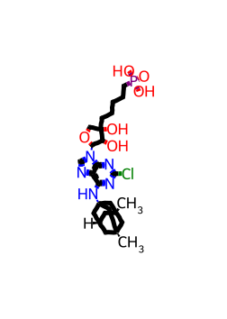 C[C@]12C[C@@H]3C[C@](C)(C1)C[C@@](Nc1nc(Cl)nc4c1ncn4[C@@H]1OCC(O)(CCCCCP(=O)(O)O)C1O)(C3)C2